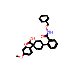 COc1ccc(C2(C(=O)O)CCC(c3ccccc3C(=O)NOCc3ccccc3)CC2)cc1